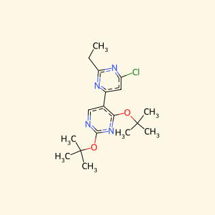 CCc1nc(Cl)cc(-c2cnc(OC(C)(C)C)nc2OC(C)(C)C)n1